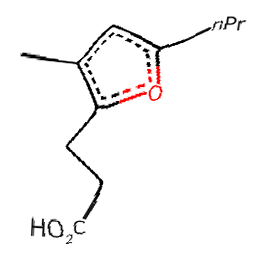 CCCc1cc(C)c(CCC(=O)O)o1